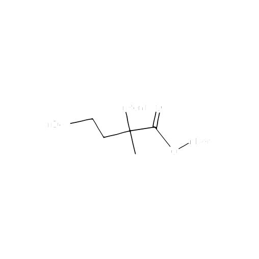 CCCCCCCCCCCCC(C)(CCCCC)C(=O)OCCCCCCCCCC